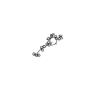 C=CC[C@H]1C(=O)C(C)(C)[C@@H](O[Si](C)(C)C(C)(C)C)CC(=O)O[C@H](c2ccc3sc(C)nc3c2)C/C=C(/C)CCC[C@H](C)[C@@H]1OC(=O)OCc1ccc(OC(=O)CCCCCN2C(=O)C=CC2=O)cc1